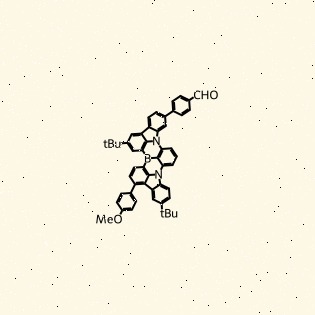 COc1ccc(-c2ccc3c4c2c2cc(C(C)(C)C)ccc2n4-c2cccc4c2B3c2cc(C(C)(C)C)cc3c5ccc(-c6ccc(C=O)cc6)cc5n-4c23)cc1